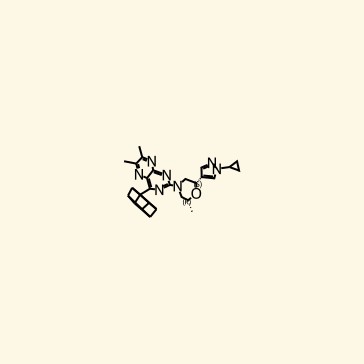 Cc1nc2nc(N3C[C@@H](C)O[C@@H](c4cnn(C5CC5)c4)C3)nc(C34C5C6C7C5C3C7C64)c2nc1C